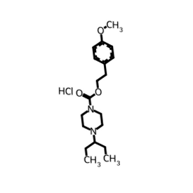 CCC(CC)N1CCN(C(=O)OCCc2ccc(OC)cc2)CC1.Cl